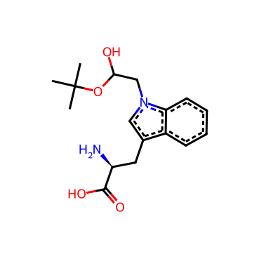 CC(C)(C)OC(O)Cn1cc(C[C@H](N)C(=O)O)c2ccccc21